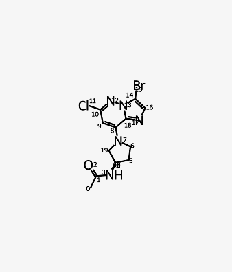 CC(=O)N[C@@H]1CCN(c2cc(Cl)nn3c(Br)cnc23)C1